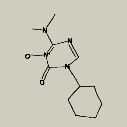 CN(C)c1ncn(C2CCCCC2)c(=O)[n+]1[O-]